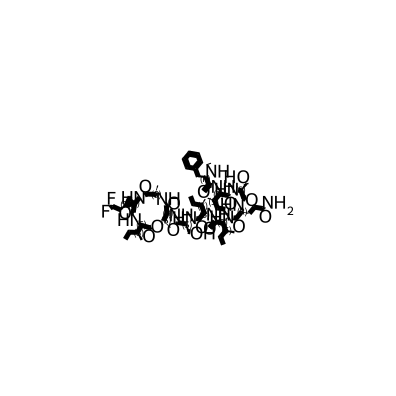 CC[C@H](C)[C@H](NC(=O)[C@@H](Cc1ccccc1)NC)C(=O)N[C@@H](CO)C(=O)N[C@H](CCC(N)=O)C(=O)N[C@@H](C(=O)N[C@H](C(=O)N[C@@H](CO)C(=O)N[C@H]1C(=O)N[C@@H](C)C(=O)N[C@]2(C[C@@H]2CC(F)F)C(=O)N[C@@H]([C@@H](C)CC)C(=O)O[C@H]1C)[C@@H](C)CC)[C@@H](C)CC